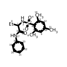 CCC(NS(=O)(=O)c1c(C)cc(C)cc1C)C(=O)Nc1ccccc1